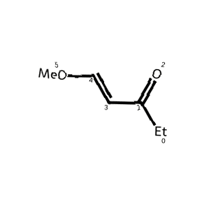 CCC(=O)/C=C/OC